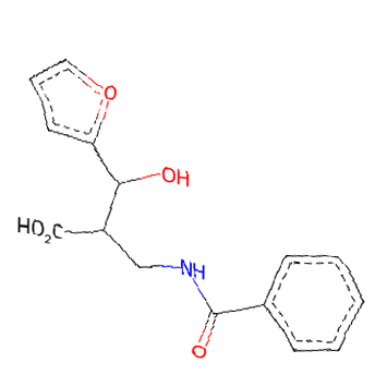 O=C(NCC(C(=O)O)C(O)c1ccco1)c1ccccc1